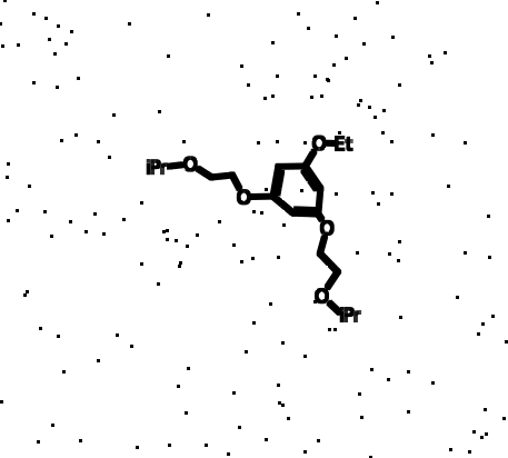 CCOc1cc(OCCOC(C)C)cc(OCCOC(C)C)c1